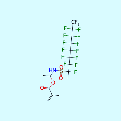 C=C(C)C(=O)OC(C)NS(=O)(=O)C(C)(F)C(F)(F)C(F)(F)C(F)(F)C(F)(F)C(F)(F)C(F)(F)C(F)(F)F